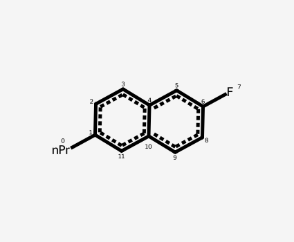 [CH2]CCc1ccc2cc(F)ccc2c1